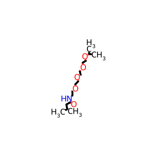 CC(C)CC(=O)NCCOCCOCCOCCOC(C)C